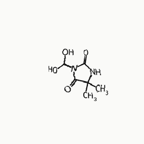 CC1(C)NC(=O)N(C(O)O)C1=O